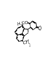 Cc1ccc2ccc(C)c3c2c1CC3C1=CC(=O)C=CC1=O